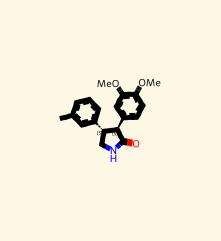 COc1ccc([C@H]2C(=O)NC[C@@H]2c2cccc(C)c2)cc1OC